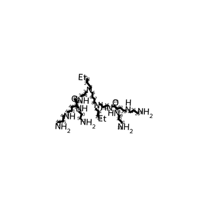 CCC=CCN(CCCCN(CC=CCC)CCCNC(=O)C(CCNCCCN)NCCCN)CCCNC(=O)C(CCCNCCCN)NCCCN